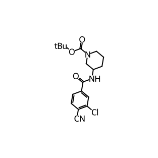 CC(C)(C)OC(=O)N1CCCC(NC(=O)c2ccc(C#N)c(Cl)c2)C1